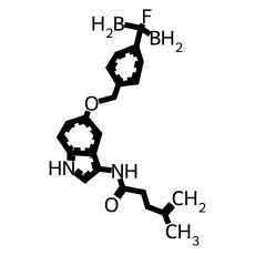 BC(B)(F)c1ccc(COc2ccc3[nH]cc(NC(=O)CCC(=C)C)c3c2)cc1